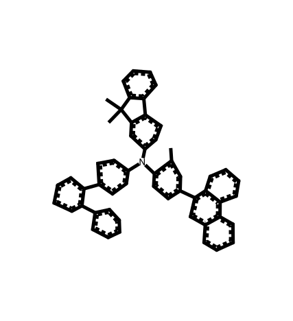 Cc1cc(-c2cc3ccccc3c3ccccc23)ccc1N(c1ccc(-c2ccccc2-c2ccccc2)cc1)c1ccc2c(c1)C(C)(C)c1ccccc1-2